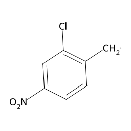 [CH2]c1ccc([N+](=O)[O-])cc1Cl